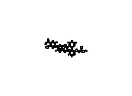 COC(=O)COc1cccc(N(CC23CCC(c4ccc(N(C)C)c(Cl)c4)(CC2)CC3)C(=O)C2CCCCC2)c1